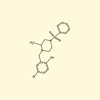 CC1CN(S(=O)(=O)c2ccccc2)CCN1Cc1cc(Cl)ccc1O